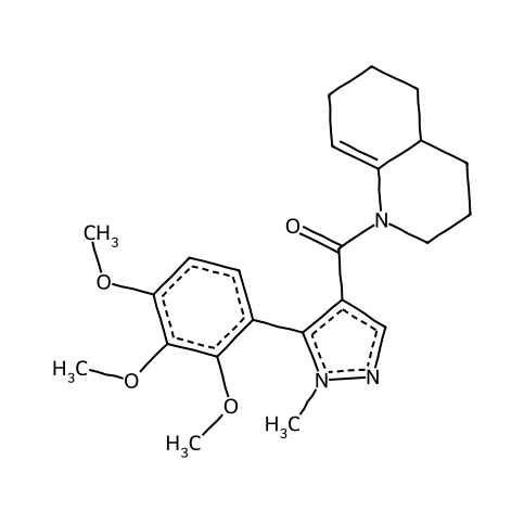 COc1ccc(-c2c(C(=O)N3CCCC4CCCC=C43)cnn2C)c(OC)c1OC